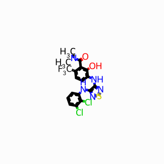 CN(C)C(=O)c1c(C(F)(F)F)ccc(Nc2nsnc2Nc2cccc(Cl)c2Cl)c1O